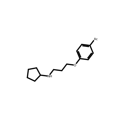 CC(=O)c1ccc(OCCCNC2CCCC2)cc1